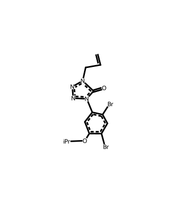 C=CCn1nnn(-c2cc(OC(C)C)c(Br)cc2Br)c1=O